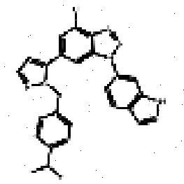 CC(C)c1ccc(Cn2nccc2-c2cc(Cl)c3nnn(-c4ccc5cn[nH]c5c4)c3c2)cc1